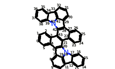 c1ccc2c(c1)c1c3cccc4c5ccccc5n(c43)c1c1c3ccccc3c3c4cccc5c6ccccc6n(c54)c3c21